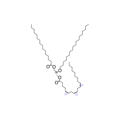 CCCCCCCC/C=C\C/C=C\C/C=C\CCCC(=O)OC[C@H](COC(=O)CCCCCCCCCCCCCCC)OCCCCCCCCCCCCCCCCCC